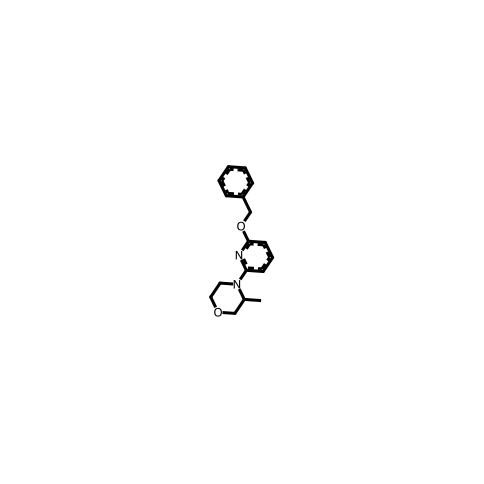 CC1COCCN1c1cccc(OCc2ccccc2)n1